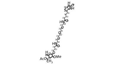 COc1cc(C(C)OC(C)=O)c(N)cc1OCCCC(=O)NCCOCCOCCOCCNC(=O)CCCCC1SCC2NC(=O)NC21